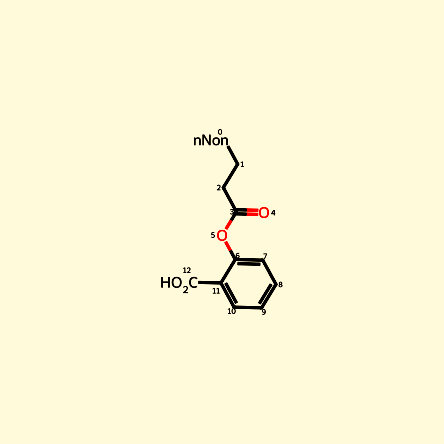 CCCCCCCCCCCC(=O)Oc1ccccc1C(=O)O